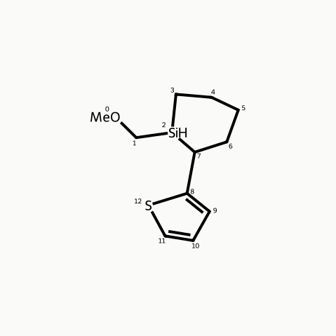 COC[SiH]1CCCCC1c1cccs1